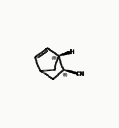 N#C[C@H]1CC2C=C[C@H]1C2